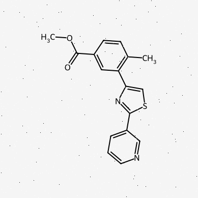 COC(=O)c1ccc(C)c(-c2csc(-c3cccnc3)n2)c1